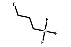 FCCC[Si](F)(F)F